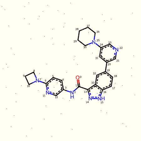 O=C(Nc1ccc(N2CCC2)nc1)c1n[nH]c2ccc(-c3cncc(N4CCCCC4)c3)cc12